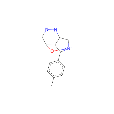 Cc1ccc(C2=[N+]3CC4N=NCC(O3)C24)cc1